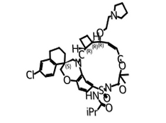 CC(C)C(=O)NS1(=O)=NC(=O)C(C)(C)OCC=C[C@H](OCCN2CCCC2)[C@@H]2CC[C@H]2CN2C[C@@]3(CCCc4cc(Cl)ccc43)COc3ccc1cc32